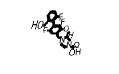 O=C(O)N1CCN2Cc3cc(F)c(-c4c(F)cccc4CO)c(F)c3OC[C@H]2C1